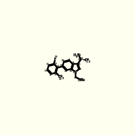 CC(C)(C)Cn1cc([C@H](N)C(F)(F)F)c2ccc(-c3c(F)cccc3C(F)(F)F)cc21